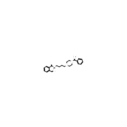 O=c1c2ccccc2cnn1CCCCN1CCN(c2nsc3ccccc23)CC1